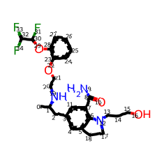 CC(Cc1cc2c(c(C(N)=O)c1)N(CCCO)CC2)NCCOc1ccccc1OC(F)C(F)F